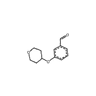 O=Cc1cccc(OC2CCOCC2)c1